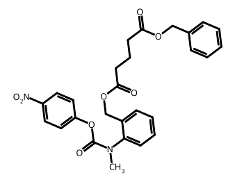 CN(C(=O)Oc1ccc([N+](=O)[O-])cc1)c1ccccc1COC(=O)CCCC(=O)OCc1ccccc1